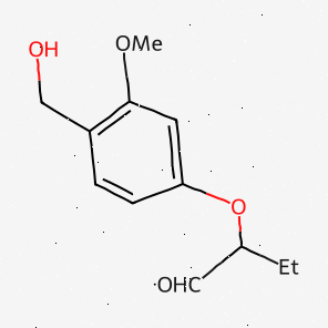 CCC([C]=O)Oc1ccc(CO)c(OC)c1